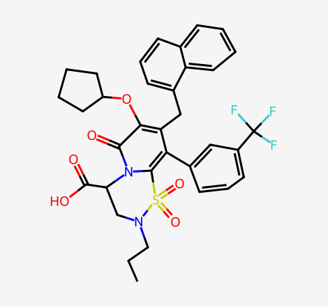 CCCN1CC(C(=O)O)n2c(c(-c3cccc(C(F)(F)F)c3)c(Cc3cccc4ccccc34)c(OC3CCCC3)c2=O)S1(=O)=O